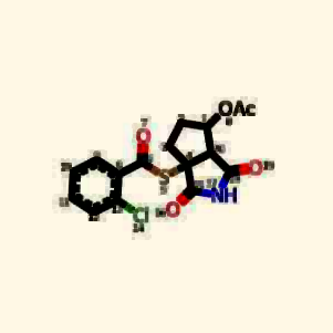 CC(=O)OC1CCC2(SC(=O)c3ccccc3Cl)C(=O)NC(=O)C12